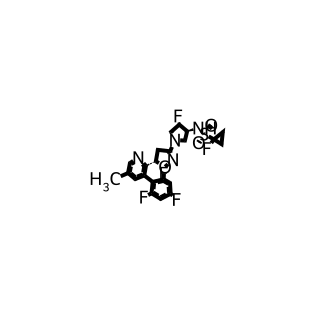 Cc1cnc([C@@H]2CC(N3C[C@@H](F)[C@@H](NS(=O)(=O)C4(F)CC4)C3)=NO2)c(-c2c(F)cc(F)cc2F)c1